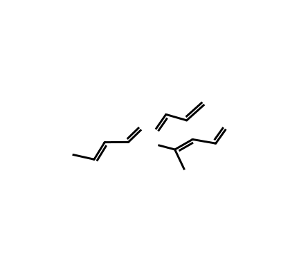 C=CC=C.C=CC=C(C)C.C=CC=CC